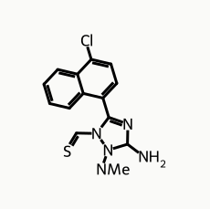 CNN1C(N)N=C(c2ccc(Cl)c3ccccc23)N1C=S